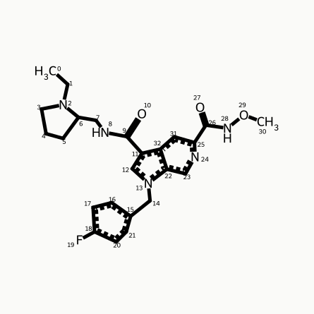 CCN1CCCC1CNC(=O)c1cn(Cc2ccc(F)cc2)c2cnc(C(=O)NOC)cc12